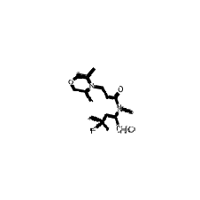 CC1COCC(C)N1CCC(=O)N(C)C(C=O)CC(C)(C)F